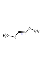 [CH2]O/C=C/OC